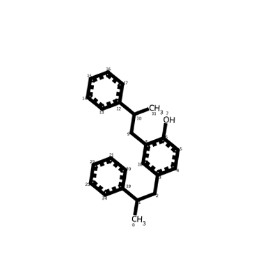 CC(Cc1ccc(O)c(CC(C)c2ccccc2)c1)c1ccccc1